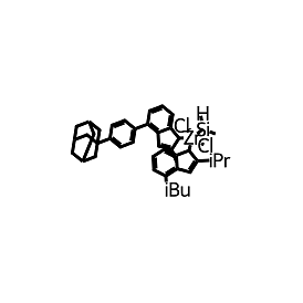 CCC(C)c1cccc2c1C=C(C(C)C)[CH]2[Zr]([Cl])([Cl])([CH]1C(C)=Cc2c(-c3ccc(C45CC6CC(CC(C6)C4)C5)cc3)cccc21)[SiH](C)C